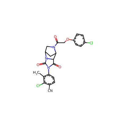 Cc1c(N2C(=O)C3C4CC(CN4C(=O)COc4ccc(Cl)cc4)N3C2=O)ccc(C#N)c1Cl